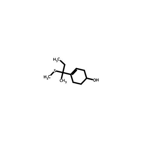 CCC(C)(SC)C1=CCC(O)CC1